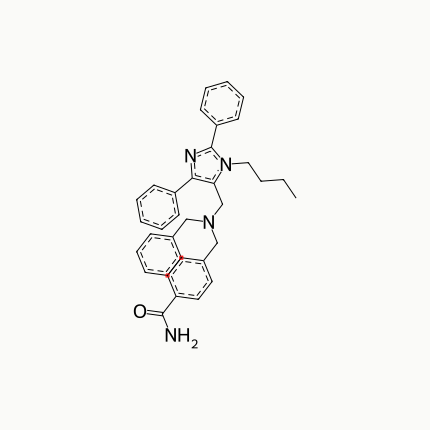 CCCCn1c(-c2ccccc2)nc(-c2ccccc2)c1CN(Cc1ccccc1)Cc1ccc(C(N)=O)cc1